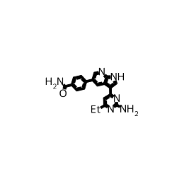 CCc1cc(-c2c[nH]c3ncc(-c4ccc(C(N)=O)cc4)cc23)nc(N)n1